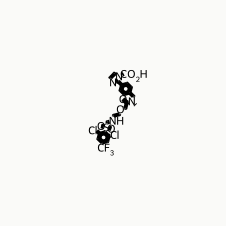 CN(Cc1ccc(C2=NCCN2C(=O)O)cc1)C(=O)COCCNCS(=O)(=O)c1c(Cl)cc(C(F)(F)F)cc1Cl